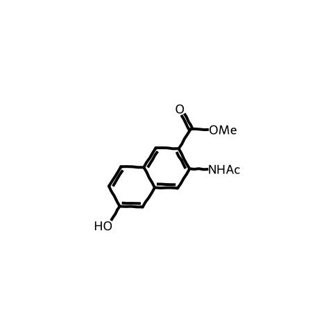 COC(=O)c1cc2ccc(O)cc2cc1NC(C)=O